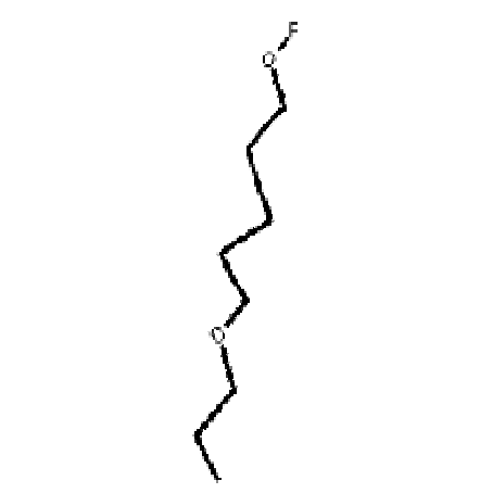 CCCOCCCCCOF